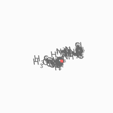 CC(C)(C)OC(=O)N[C@@H]1[C@@H]2CC3C[C@H]1C[C@@](CNc1nc(NCc4csc5ccc(Cl)cc45)ncc1C#N)(C3)C2